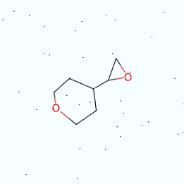 C1CC(C2CO2)CCO1